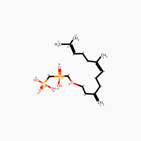 C=C(CCC=C(C)CCC=C(C)C)CCOCP(=O)(O)CP(=O)(O)O